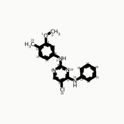 COc1cc(Nc2ncc(Cl)c(Nc3ccccc3)n2)ccc1C